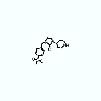 CS(=O)(=O)c1ccc(CN2CCN(C3CCNCC3)C2=O)cc1